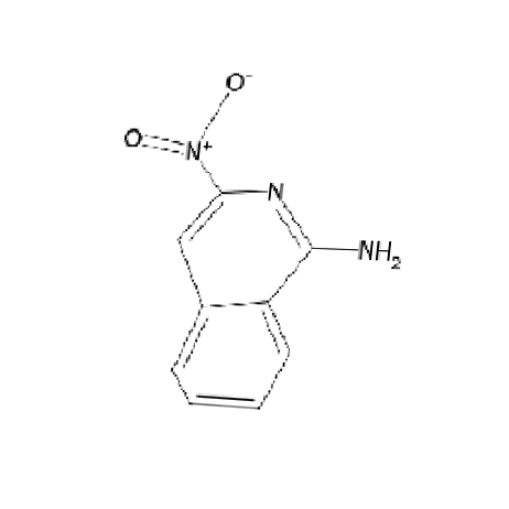 Nc1nc([N+](=O)[O-])cc2ccccc12